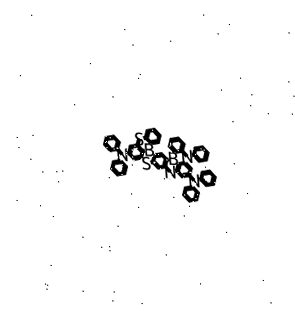 CN1c2cc3c(cc2B2c4ccccc4N(c4ccccc4)c4cc(N(c5ccccc5)c5ccccc5)cc1c42)B1c2ccccc2Sc2cc(N(c4ccccc4)c4ccccc4)cc(c21)S3